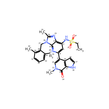 CCS(=O)(=O)Nc1cc(-c2cn(C)c(=O)c3[nH]ccc23)nc2c1nc(C)n2Cc1c(C)cccc1C